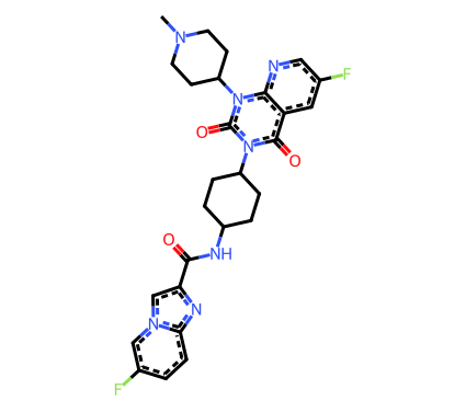 CN1CCC(n2c(=O)n(C3CCC(NC(=O)c4cn5cc(F)ccc5n4)CC3)c(=O)c3cc(F)cnc32)CC1